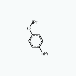 CCCc1ccc(OC(C)C)cc1